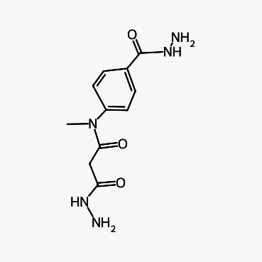 CN(C(=O)CC(=O)NN)c1ccc(C(=O)NN)cc1